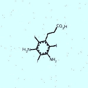 Nc1c(I)c(N)c(I)c(CCC(=O)O)c1I